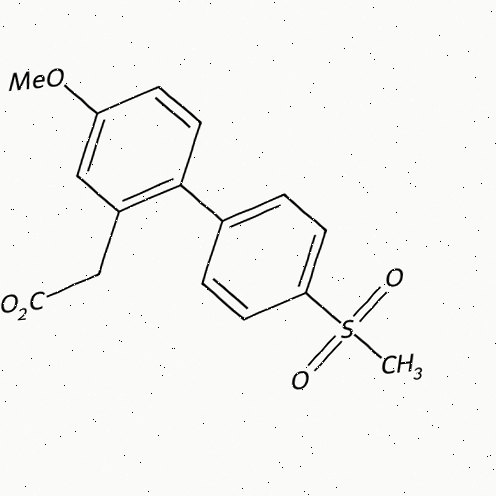 COc1ccc(-c2ccc(S(C)(=O)=O)cc2)c(CC(=O)O)c1